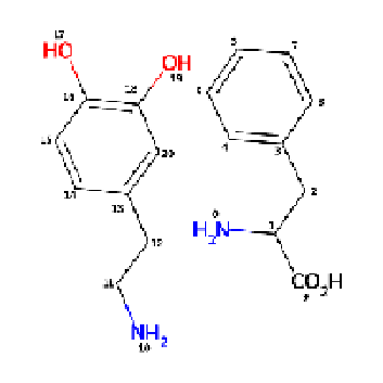 NC(Cc1ccccc1)C(=O)O.NCCc1ccc(O)c(O)c1